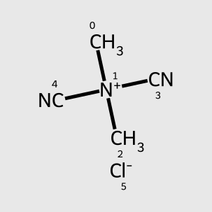 C[N+](C)(C#N)C#N.[Cl-]